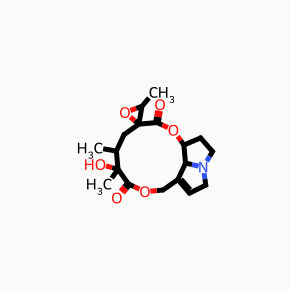 CC1CC2(OC2C)C(=O)OC2CCN3CC=C(COC(=O)C1(C)O)C23